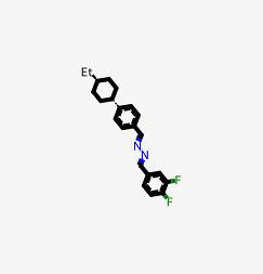 CC[C@H]1CC[C@H](c2ccc(C=NN=Cc3ccc(F)c(F)c3)cc2)CC1